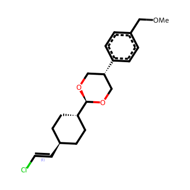 COCc1ccc([C@H]2CO[C@H]([C@H]3CC[C@H](/C=C/Cl)CC3)OC2)cc1